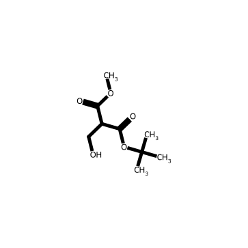 COC(=O)C(CO)C(=O)OC(C)(C)C